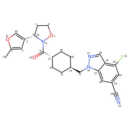 Cc1cc([C@@H]2CCON2C(=O)[C@H]2CC[C@H](Cn3ncc4c(F)cc(C#N)cc43)CC2)co1